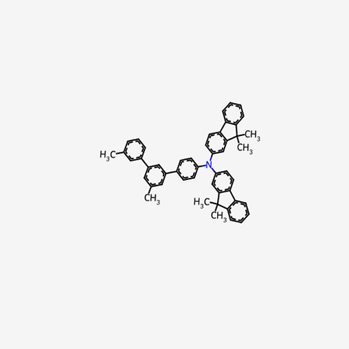 Cc1cccc(-c2cc(C)cc(-c3ccc(N(c4ccc5c(c4)C(C)(C)c4ccccc4-5)c4ccc5c(c4)C(C)(C)c4ccccc4-5)cc3)c2)c1